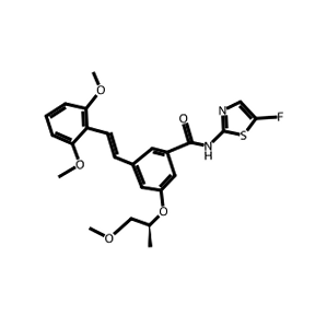 COC[C@H](C)Oc1cc(C=Cc2c(OC)cccc2OC)cc(C(=O)Nc2ncc(F)s2)c1